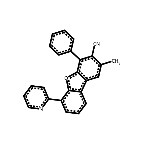 Cc1cc2c(oc3c(-c4ccccn4)cccc32)c(-c2ccccc2)c1C#N